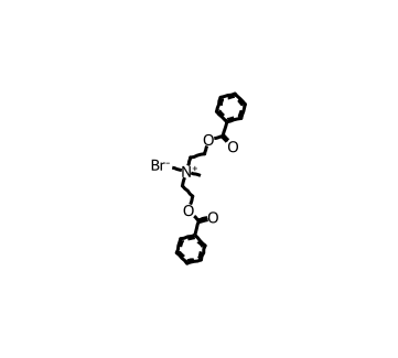 C[N+](C)(CCOC(=O)c1ccccc1)CCOC(=O)c1ccccc1.[Br-]